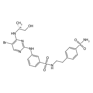 C[C@H](CO)Nc1nc(Nc2cccc(S(=O)(=O)NCCc3ccc(S(N)(=O)=O)cc3)c2)ncc1Br